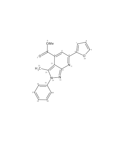 COC(=O)c1cc(-c2ccco2)nc2nn(-c3ccccc3)c(C)c12